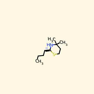 CCC/C=C1/NC(C)(C)CCS1